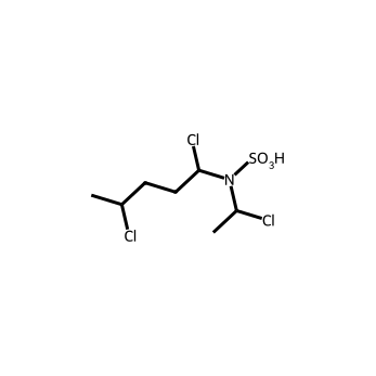 CC(Cl)CCC(Cl)N(C(C)Cl)S(=O)(=O)O